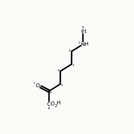 CCNCCCCC(=O)C(=O)O